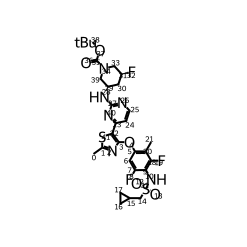 Cc1nc(Oc2cc(F)c(NS(=O)(=O)CC3CC3)c(F)c2C)c(-c2ccnc(N[C@H]3C[C@H](F)CN(C(=O)OC(C)(C)C)C3)n2)s1